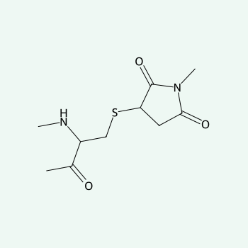 CNC(CSC1CC(=O)N(C)C1=O)C(C)=O